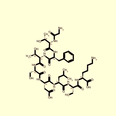 CC(C)C[C@H](NC(=O)[C@H](CC(=O)O)NC(=O)[C@H](CO)NC(=O)[C@@H](NC(=O)[C@H](Cc1ccccc1)NC(=O)[C@@H](NC(=O)CN)[C@@H](C)O)[C@@H](C)O)C(=O)N[C@@H](CO)C(=O)N[C@@H](CCCCN)C(=O)O